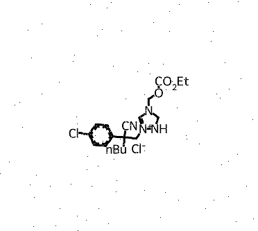 CCCCC(C#N)(C[N+]1=CN(COC(=O)OCC)CN1)c1ccc(Cl)cc1.[Cl-]